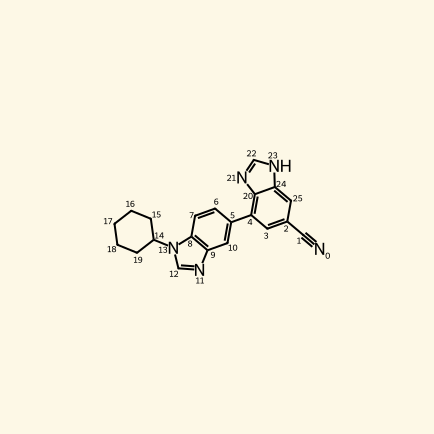 N#Cc1cc(-c2ccc3c(c2)ncn3C2CCCCC2)c2nc[nH]c2c1